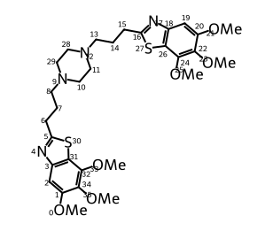 COc1cc2nc(CCCN3CCN(CCCc4nc5cc(OC)c(OC)c(OC)c5s4)CC3)sc2c(OC)c1OC